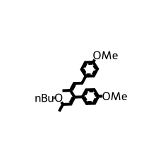 CCCCOC(C)/C=C(\C(C)=C/Cc1ccc(OC)cc1)c1ccc(OC)cc1